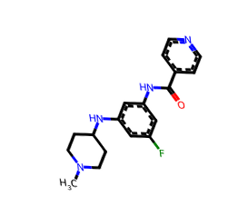 CN1CCC(Nc2cc(F)cc(NC(=O)c3ccncc3)c2)CC1